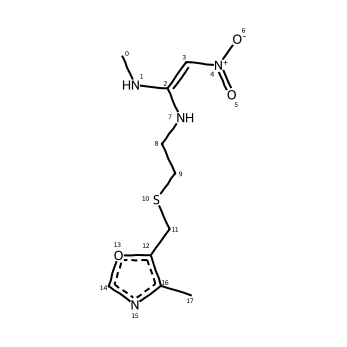 CN/C(=C/[N+](=O)[O-])NCCSCc1ocnc1C